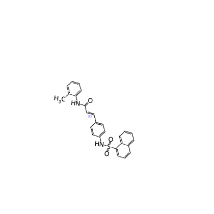 Cc1ccccc1NC(=O)/C=C/c1ccc(NS(=O)(=O)c2cccc3ccccc23)cc1